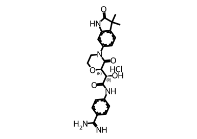 CC1(C)C(=O)Nc2cc(N3CCO[C@H]([C@@H](O)C(=O)Nc4ccc(C(=N)N)cc4)C3=O)ccc21.Cl